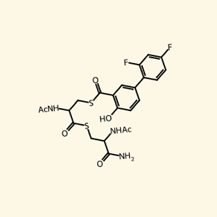 CC(=O)NC(CSC(=O)C(CSC(=O)c1cc(-c2ccc(F)cc2F)ccc1O)NC(C)=O)C(N)=O